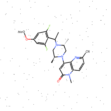 COOc1cc(F)c(C(C)N2C[C@H](C)N(c3cc(=O)n(C)c4ccc(C#N)nc34)C[C@H]2C)c(F)c1